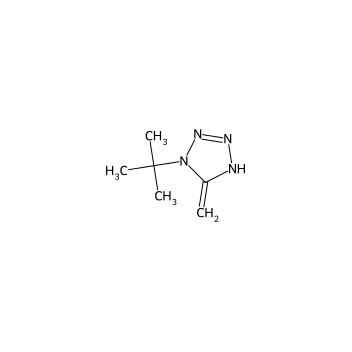 C=C1NN=NN1C(C)(C)C